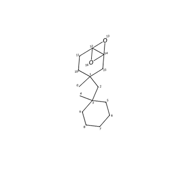 CC1(CC2(C)CCCCC2)[CH]CC23OC2(C1)O3